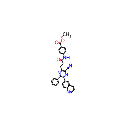 CCOC(=O)c1ccc(NC(=O)CCc2nc(-c3ccccc3)c(-c3ccc4ncccc4c3)nc2C#N)cc1